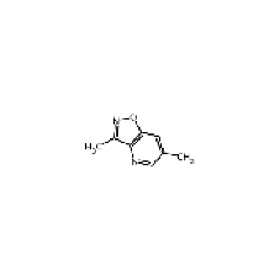 Cc1cnc2c(C)noc2c1